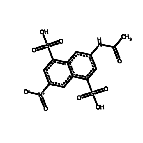 CC(=O)Nc1cc(S(=O)(=O)O)c2cc([N+](=O)[O-])cc(S(=O)(=O)O)c2c1